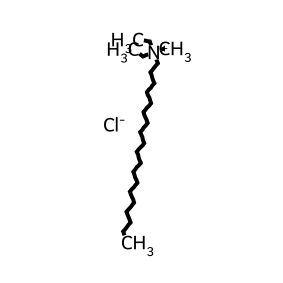 CCCCCCCCCCCCCCCCCCC[N+](C)(CC)CC.[Cl-]